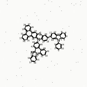 c1ccc(-n2c3ccccc3c3ccc(-c4ccc5c(c4)Sc4cc6c7ccccc7c7ccccc7c6cc4N5c4ccc5c(c4)c4ccccc4n4c6ccccc6nc54)cc32)cc1